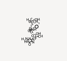 C#CC1(F)C(O)[C@@H](COP(=O)(NCc2ccccc2)OCCSC(=O)C(C)(C)CO)O[C@H]1n1cnc2c(=O)[nH]c(N)nc21